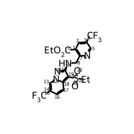 CCOC(=O)c1cc(C(F)(F)F)cnc1CNc1nn2cc(C(F)(F)F)ccc2c1S(=O)(=O)CC